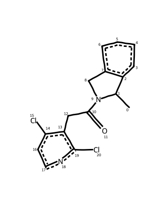 CC1c2ccccc2CN1C(=O)Cc1c(Cl)ccnc1Cl